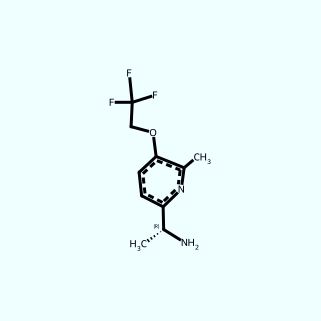 Cc1nc([C@@H](C)N)ccc1OCC(F)(F)F